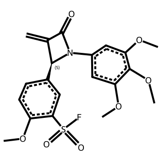 C=C1C(=O)N(c2cc(OC)c(OC)c(OC)c2)[C@H]1c1ccc(OC)c(S(=O)(=O)F)c1